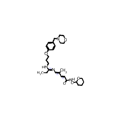 CC\C(=N/C=C(C)/C=C/C(=O)NOC1CCCCO1)NCCCOc1ccc(CN2CCOCC2)cc1